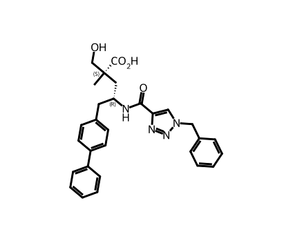 C[C@@](CO)(C[C@@H](Cc1ccc(-c2ccccc2)cc1)NC(=O)c1cn(Cc2ccccc2)nn1)C(=O)O